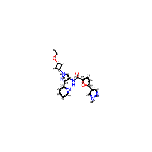 CCO[C@H]1C[C@@H](n2cc(NC(=O)c3ccc(-c4cnn(C)c4)o3)c(-c3ccccn3)n2)C1